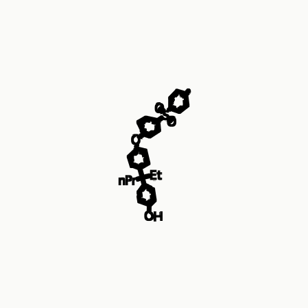 CCCC(CC)(c1ccc(O)cc1)c1ccc(Oc2ccc(S(=O)(=O)c3ccc(C)cc3)cc2)cc1